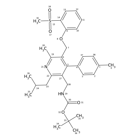 Cc1ccc(-c2c(COc3ccccc3S(C)(=O)=O)c(C)nc(CC(C)C)c2CNC(=O)OC(C)(C)C)cc1